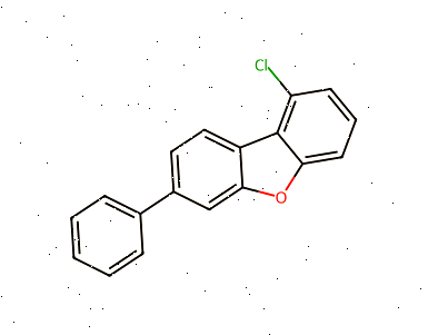 Clc1cccc2oc3cc(-c4ccccc4)ccc3c12